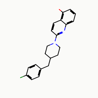 Oc1cccc2nc(N3CCC(Cc4ccc(F)cc4)CC3)ccc12